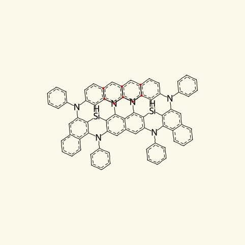 c1ccc(N2c3cccc4c3[SiH]3c5c2cc2ccccc2c5N(c2ccccc2)c2cc5cc6c7c(c5c(c23)N4c2ccccc2)N(c2ccccc2)c2cccc3c2[SiH]7c2c(cc4ccccc4c2N6c2ccccc2)N3c2ccccc2)cc1